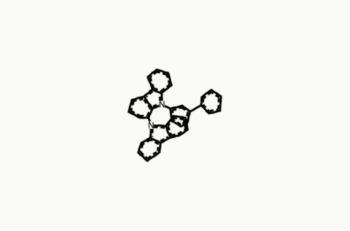 c1ccc(-c2cccc(-n3c4ccccc4c4cccc(-n5c6ccccc6c6ccccc65)c43)c2)cc1